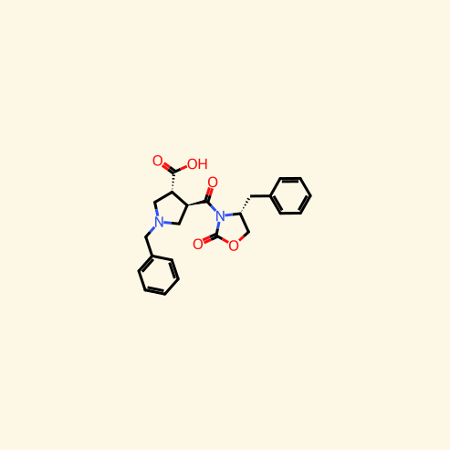 O=C(O)[C@H]1CN(Cc2ccccc2)C[C@@H]1C(=O)N1C(=O)OC[C@H]1Cc1ccccc1